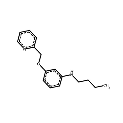 CCCCNc1cccc(OCc2ccccn2)c1